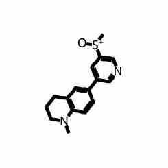 CN1CCCc2cc(-c3cncc([S+](C)[O-])c3)ccc21